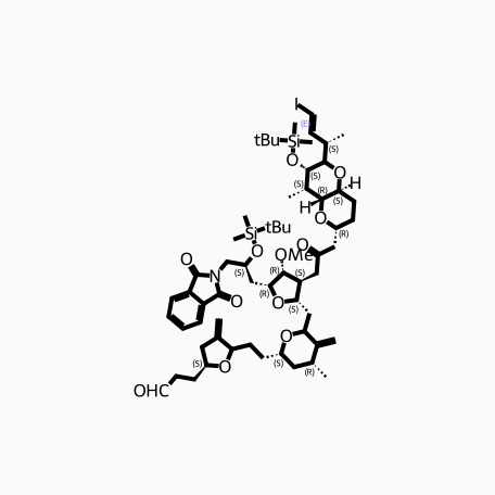 C=C1C[C@H](CCC=O)OC1CC[C@H]1C[C@@H](C)C(=C)C(C[C@@H]2O[C@H](C[C@@H](CN3C(=O)c4ccccc4C3=O)O[Si](C)(C)C(C)(C)C)[C@H](OC)[C@H]2CC(=O)C[C@H]2CC[C@@H]3OC([C@@H](C)/C=C/I)[C@@H](O[Si](C)(C)C(C)(C)C)[C@@H](C)[C@H]3O2)O1